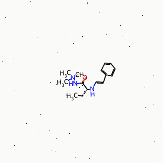 CC[C@H](NC=Cc1ccccc1)C(=O)N[N+](C)(C)C